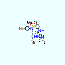 COc1ccc(NC(=O)c2cnc(C(F)(F)F)[nH]2)cc1[S+]([O-])N(CCCCCCBr)c1ccc(Br)cc1